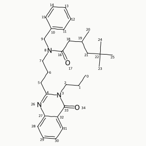 CCCn1c(CCCN(Cc2ccccc2)C(=O)CC(C)CC(C)(C)C)nc2ccccc2c1=O